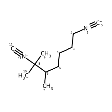 [C-]#[N+]CCCCC(C)C(C)(C)[N+]#[C-]